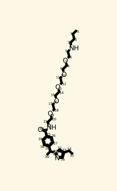 CCCCNCCOCCOCCOCCOCCOCCNC(=O)c1ccc(C(C)n2cc(CC)cn2)cc1